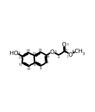 COC(=O)COc1ccc2ccc(O)cc2c1